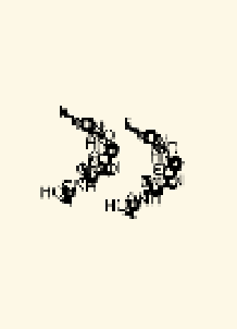 COc1nc(-c2ccnc(-c3cccc(NC(=O)c4nc5c(n4C)CCN(CCCF)C5)c3Cl)c2Cl)ccc1CNCCC1(C(=O)O)CC1.COc1nc(-c2ccnc(-c3cccc(NC(=O)c4nc5c(n4C)CCN(CCCF)C5)c3Cl)c2Cl)ccc1CNCCC1(C(=O)O)CC1